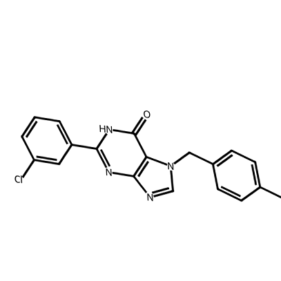 Cc1ccc(Cn2cnc3nc(-c4cccc(Cl)c4)[nH]c(=O)c32)cc1